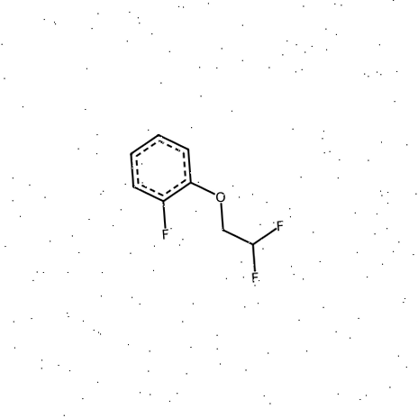 Fc1ccccc1OCC(F)F